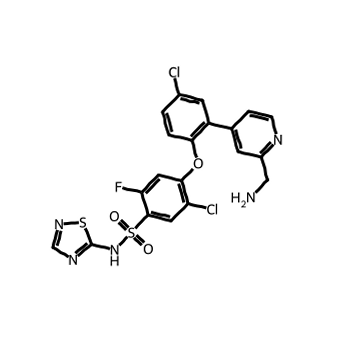 NCc1cc(-c2cc(Cl)ccc2Oc2cc(F)c(S(=O)(=O)Nc3ncns3)cc2Cl)ccn1